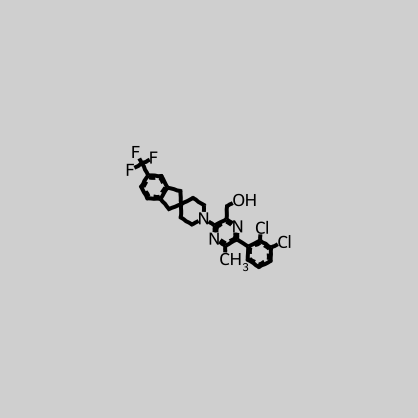 Cc1nc(N2CCC3(CC2)Cc2ccc(C(F)(F)F)cc2C3)c(CO)nc1-c1cccc(Cl)c1Cl